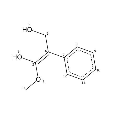 COC(O)=C(CO)c1ccccc1